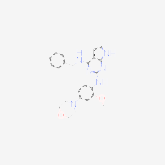 COc1cc(N2CCOCC2)ccc1Nc1nc(NCc2[c]cccc2)c2cc[nH]c2n1